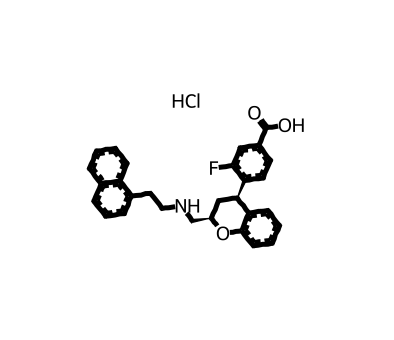 Cl.O=C(O)c1ccc([C@@H]2C[C@H](CNCCc3cccc4ccccc34)Oc3ccccc32)c(F)c1